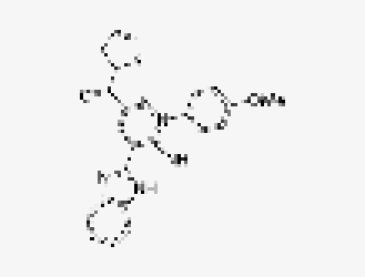 COc1ccc(-n2nc(C(=O)C3CC=CS3)cc(-c3nc4ccccc4[nH]3)c2=N)cc1